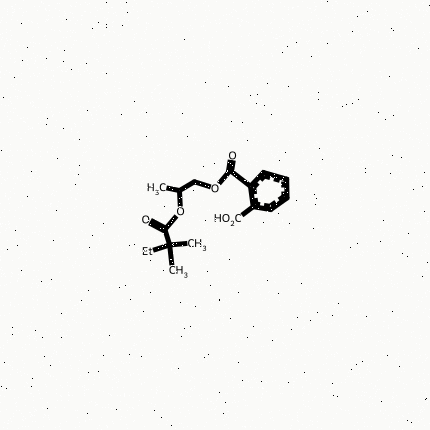 CCC(C)(C)C(=O)OC(C)COC(=O)c1ccccc1C(=O)O